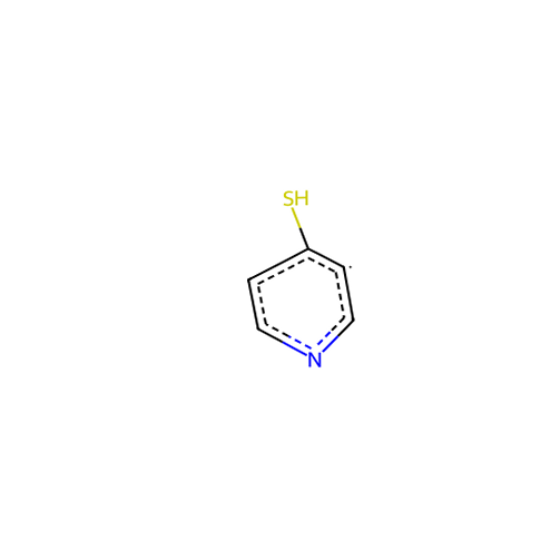 Sc1[c]cncc1